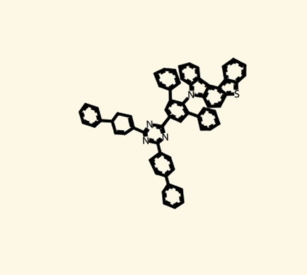 C1=CC(c2ccccc2)CC=C1c1nc(-c2ccc(-c3ccccc3)cc2)nc(-c2cc(-c3ccccc3)c(-n3c4ccccc4c4c5c(ccc43)sc3ccccc35)c(-c3ccccc3)c2)n1